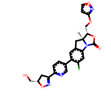 O=C1O[C@@H](COc2ccon2)[C@@H]2Cc3cc(-c4ccc(C5=NO[C@H](CO)C5)nc4)c(F)cc3N12